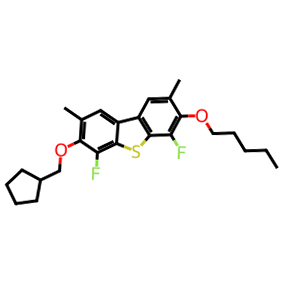 CCCCCOc1c(C)cc2c(sc3c(F)c(OCC4CCCC4)c(C)cc32)c1F